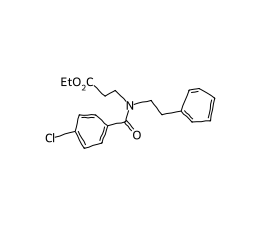 CCOC(=O)CCN(CCc1ccccc1)C(=O)c1ccc(Cl)cc1